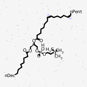 CCCCC/C=C\CCCC/C=C\CCCCCCC(=O)O[C@H](COC(=O)CCCCCCCCCCCCCCCCC)COP(=O)(O)OCC[N+](C)(C)C